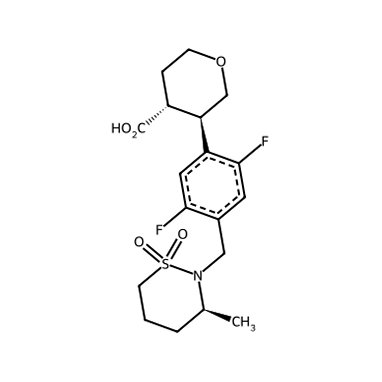 C[C@H]1CCCS(=O)(=O)N1Cc1cc(F)c([C@@H]2COCC[C@H]2C(=O)O)cc1F